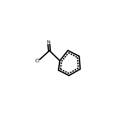 [N]=C(Cl)c1ccccc1